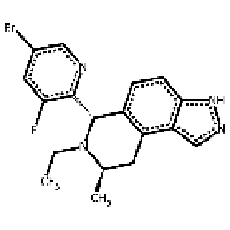 C[C@@H]1Cc2c(ccc3[nH]ncc23)[C@@H](c2ncc(Br)cc2F)N1CC(F)(F)F